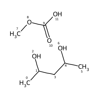 CC(O)CC(C)O.COC(=O)O